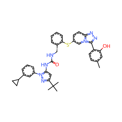 Cc1ccc(-c2nnc3ccc(Sc4ccccc4CNC(=O)Nc4cc(C(C)(C)C)nn4-c4cccc(C5CC5)c4)cn23)c(O)c1